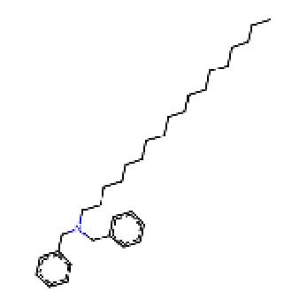 CCCCCCCCCCCCCCCCCCN(Cc1ccccc1)Cc1ccccc1